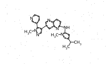 CC(C)c1cc(Nc2ccc3ncc(-c4cnn(C)c4-c4cccnc4)cc3n2)n(C)c1